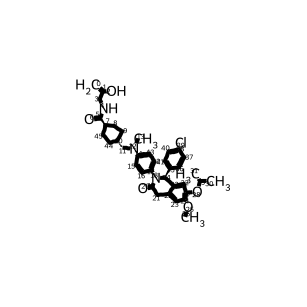 C=C(O)CNC(=O)[C@H]1CC[C@H](CN(C)c2ccc(N3C(=O)Cc4cc(OC)c(OC(C)C)cc4[C@@H]3c3ccc(Cl)cc3)cc2)CC1